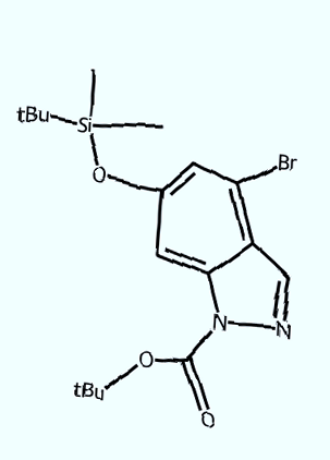 CC(C)(C)OC(=O)n1ncc2c(Br)cc(O[Si](C)(C)C(C)(C)C)cc21